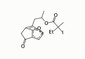 CCC(C)(I)C(=O)OC(C)Cc1c2c3oc1cc3C(=O)C2